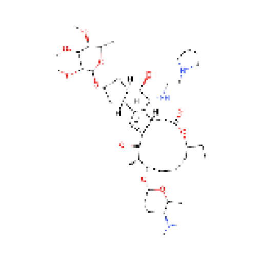 CC[C@H]1CCC[C@H](O[C@H]2CC[C@H](N(C)C)C(C)O2)[C@@H](C)C(=O)C2=C[C@H]3[C@@H]4C[C@H](O[C@@H]5OC(C)[C@H](OC)C(OC)C5OC)C[C@H]4[C@@H](O)[C@H](NCCN4CCCC4)[C@H]3[C@@H]2CC(=O)O1